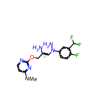 CNc1ccnc(OC/C(N)=C/N(N)c2ccc(F)c(C(F)F)c2)n1